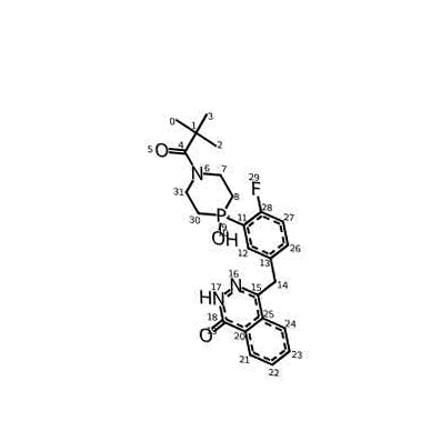 CC(C)(C)C(=O)N1CC[P](O)(c2cc(Cc3n[nH]c(=O)c4ccccc34)ccc2F)CC1